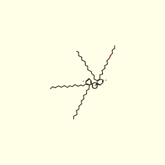 CCCCCCCCCCCCCc1[c]ccc(Oc2cc[c]c(CCCCCCCCCCCCC)c2CCCCCCCCCCCCC)c1CCCCCCCCCCCCC